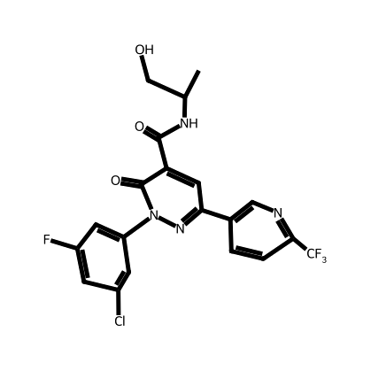 CC(CO)NC(=O)c1cc(-c2ccc(C(F)(F)F)nc2)nn(-c2cc(F)cc(Cl)c2)c1=O